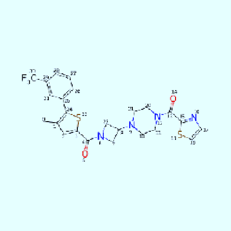 Cc1cc(C(=O)N2CC(N3CCN(C(=O)c4nccs4)CC3)C2)sc1-c1cccc(C(F)(F)F)c1